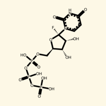 O=c1ccn([C@]2(F)O[C@H](COP(=O)(O)OP(=O)(O)OP(=O)(O)O)[C@@H](O)[C@H]2O)c(=O)[nH]1